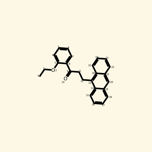 CCOc1ccccc1C(=O)CCc1c2ccccc2cc2ccccc12